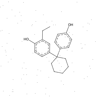 CCc1cc(C2(c3ccc(O)cc3)CCCCC2)ccc1O